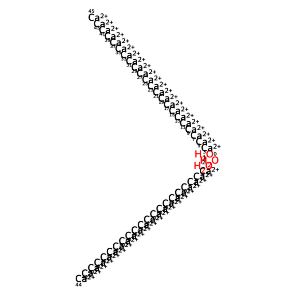 O.O.O.[Ca+2].[Ca+2].[Ca+2].[Ca+2].[Ca+2].[Ca+2].[Ca+2].[Ca+2].[Ca+2].[Ca+2].[Ca+2].[Ca+2].[Ca+2].[Ca+2].[Ca+2].[Ca+2].[Ca+2].[Ca+2].[Ca+2].[Ca+2].[Ca+2].[Ca+2].[Ca+2].[Ca+2].[Ca+2].[Ca+2].[Ca+2].[Ca+2].[Ca+2].[Ca+2].[Ca+2].[Ca+2].[Ca+2].[Ca+2].[Ca+2].[Ca+2].[Ca+2].[Ca+2].[Ca+2].[Ca+2].[Ca+2].[Ca+2].[Ca+2]